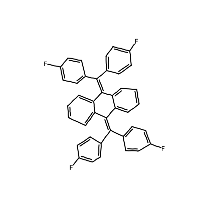 Fc1ccc(C(c2ccc(F)cc2)=c2c3ccccc3c(=C(c3ccc(F)cc3)c3ccc(F)cc3)c3ccccc23)cc1